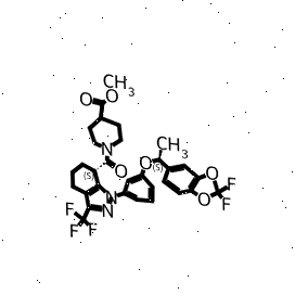 COC(=O)C1CCN(C(=O)[C@H]2CCCc3c(C(F)(F)F)nn(-c4cccc(O[C@@H](C)c5ccc6c(c5)OC(F)(F)O6)c4)c32)CC1